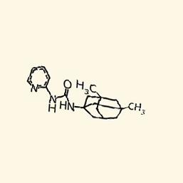 CC12CC3CC(C)(C1)CC(NC(=O)Nc1ccccn1)(C3)C2